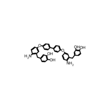 Nc1ccc(Oc2ccc(-c3ccc(Oc4ccc(N)c(Cc5ccc(O)c(O)c5)c4)cc3)cc2)cc1Cc1ccc(O)c(O)c1